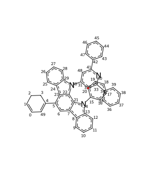 C1=CCCC(c2cc3c4ccccc4n(-c4ccccc4)c3c3c2c2ccccc2n3-c2cc(-c3ccccc3)nc(-c3ccccc3)c2)=C1